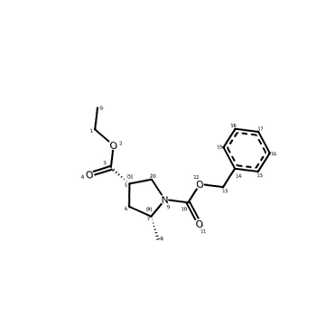 CCOC(=O)[C@H]1C[C@@H](C)N(C(=O)OCc2ccccc2)C1